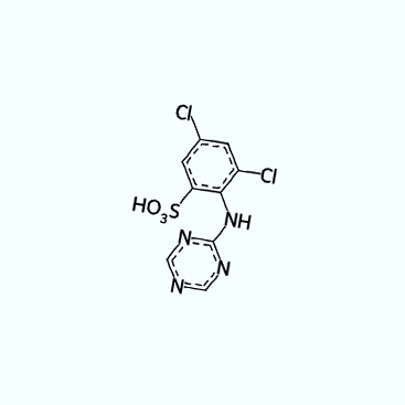 O=S(=O)(O)c1cc(Cl)cc(Cl)c1Nc1ncncn1